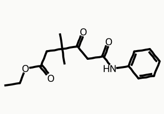 CCOC(=O)CC(C)(C)C(=O)CC(=O)Nc1ccccc1